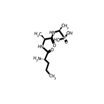 CCC[C@H](N)C(=O)N[C@@H](C)C(=O)N[C@@H](C)P(=O)(O)O